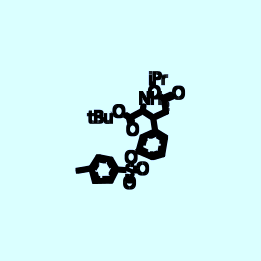 Cc1ccc(S(=O)(=O)Oc2cccc(C(CC(=O)OC(C)C)C(N)C(=O)OC(C)(C)C)c2)cc1